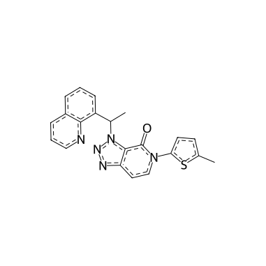 Cc1ccc(-n2ccc3nnn(C(C)c4cccc5cccnc45)c3c2=O)s1